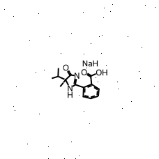 CC(C)C1(C)NC(c2ccccc2C(=O)O)=NC1=O.[NaH]